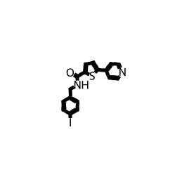 O=C(NCc1ccc(I)cc1)c1ccc(-c2ccncc2)s1